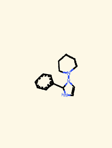 C1=CN(N2CCCCC2)C(c2ccccc2)N1